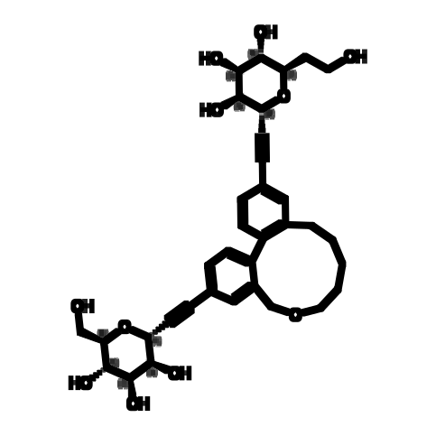 OCC[C@H]1O[C@H](C#Cc2ccc3c(c2)CCCCCOCc2cc(C#C[C@H]4O[C@H](CO)[C@@H](O)[C@H](O)[C@@H]4O)ccc2-3)[C@@H](O)[C@@H](O)[C@@H]1O